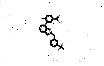 Cc1ccc(C(=O)O)cc1-c1cccc2cc(Cc3cccc(C(F)(F)F)c3)sc12